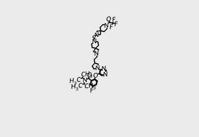 CC(C)N(C(=O)c1cc(F)ccc1Oc1cncnc1N1CCC(CCN2CC3(CCN(SN4CC5(CCN(C(=O)C(F)(F)F)CC5)C4)CC3)C2)C1)C(C)C